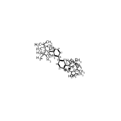 CC(C)[Si](C)(C)P([Si](C)(C)C)[Si](C)(C)c1cccc(-c2cccc([Si](C)(C)P([Si](C)(C)C)[Si](C(C)C)(C(C)C)C(C)C)c2)c1